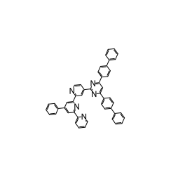 c1ccc(-c2ccc(-c3cc(-c4ccc(-c5ccccc5)cc4)nc(-c4ccnc(-c5cc(-c6ccccc6)cc(-c6ccccn6)n5)c4)n3)cc2)cc1